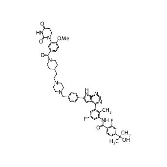 COc1ccc(C(=O)N2CCC(CCN3CCN(Cc4ccc(-c5cc6c(-c7cc(F)cc(NC(=O)c8ccc(C(C)(C)O)cc8F)c7C)ncnc6[nH]5)cc4)CC3)CC2)cc1N1CCC(=O)NC1=O